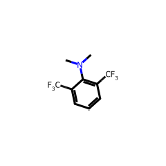 CN(C)c1c(C(F)(F)F)c[c]cc1C(F)(F)F